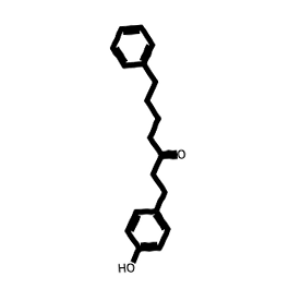 O=C(CCCCc1ccccc1)CCc1ccc(O)cc1